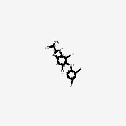 Cc1cc(I)ccc1Nc1c(C(=O)O)cc2nc(C(N)=O)sc2c1F